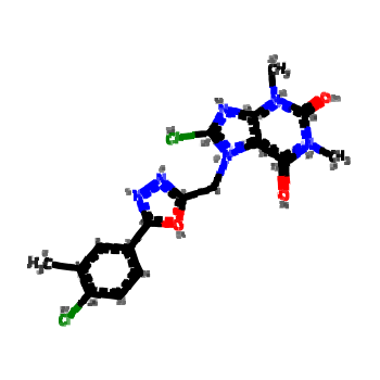 Cc1cc(-c2nnc(Cn3c(Cl)nc4c3c(=O)n(C)c(=O)n4C)o2)ccc1Cl